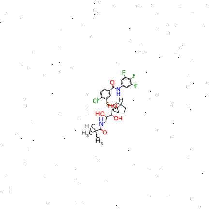 CC(C)(C)C(=O)NCC(O)C(O)C[C@@]1(O)C2CC[C@H]1C[C@H](Sc1cc(C(=O)Nc3cc(F)c(F)c(F)c3)ccc1Cl)C2